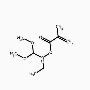 C=C(C)C(=O)O[SiH](CC)C(OC)OC